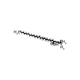 CCCCCCCCCCCCCCCCCCCCCCCCCCC(CCCCC(C)C)C(=O)O